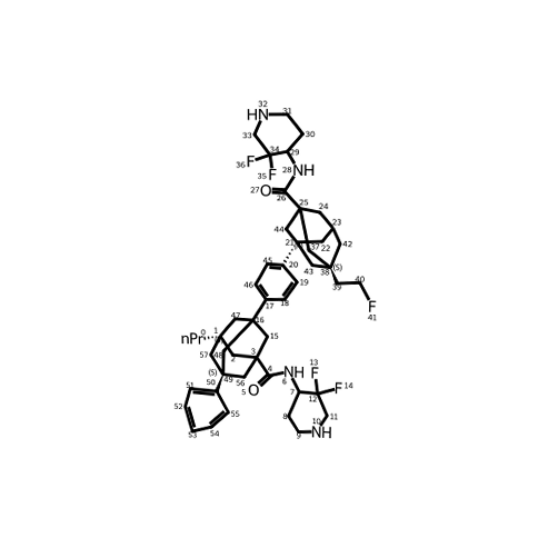 CCC[C@@]12CC3(C(=O)NC4CCNCC4(F)F)CC(c4ccc([C@]56CC7CC(C(=O)NC8CCNCC8(F)F)(C[C@](CCF)(C7)C5)C6)cc4)(C1)C[C@](c1ccccc1)(C3)C2